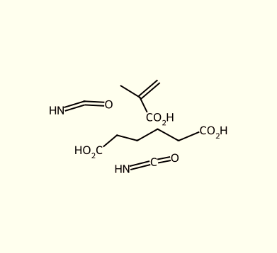 C=C(C)C(=O)O.N=C=O.N=C=O.O=C(O)CCCCC(=O)O